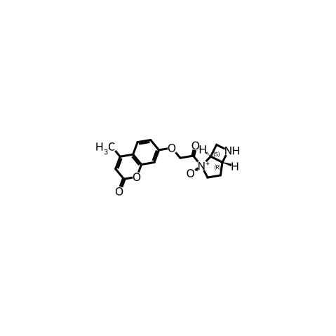 Cc1cc(=O)oc2cc(OCC(=O)[N+]3([O-])CC[C@H]4NC[C@@H]43)ccc12